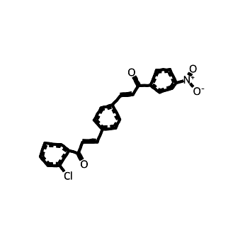 O=C(/C=C/c1ccc(/C=C/C(=O)c2ccccc2Cl)cc1)c1ccc([N+](=O)[O-])cc1